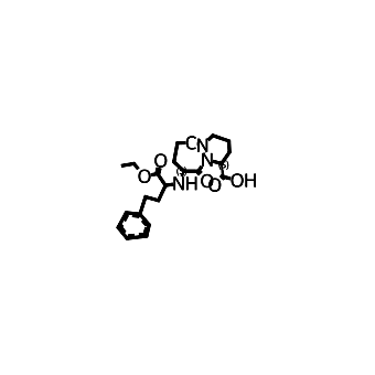 CCOC(=O)C(CCc1ccccc1)N[C@H]1CCCN2CCC[C@@H](C(=O)O)N2C1=O